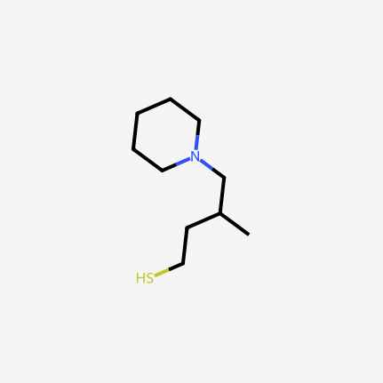 CC(CCS)CN1CCCCC1